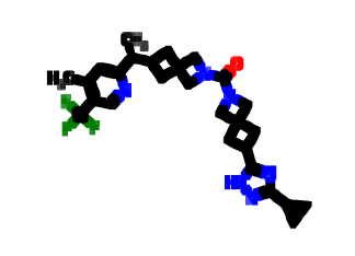 Cc1cc([C@@H](C)C2CC3(C2)CN(C(=O)N2CC4(CC(c5nc(C6CC6)n[nH]5)C4)C2)C3)ncc1C(F)(F)F